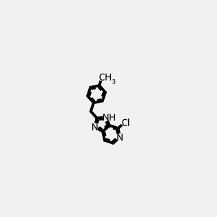 Cc1ccc(Cc2nc3ccnc(Cl)c3[nH]2)cc1